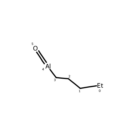 CCCC[CH2][Al]=[O]